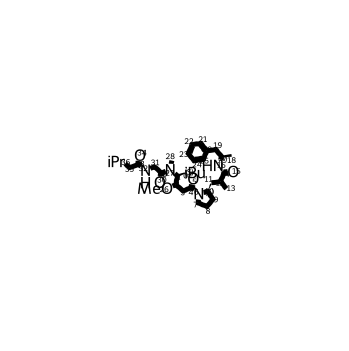 CC[C@H](C)C(C(CC(=O)N1CCC[C@H]1CC(C)C(=O)N[C@H](C)Cc1ccccc1)OC)N(C)C(=O)CNC(=O)CC(C)C